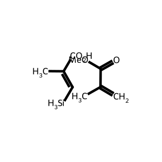 C=C(C)C(=O)OC.CC(=C[SiH3])C(=O)O